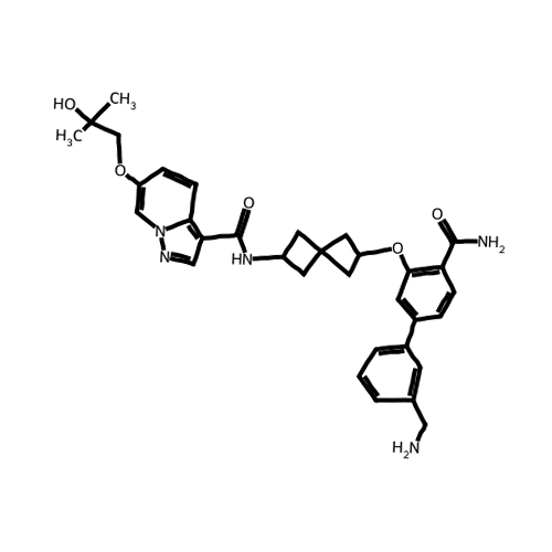 CC(C)(O)COc1ccc2c(C(=O)NC3CC4(C3)CC(Oc3cc(-c5cccc(CN)c5)ccc3C(N)=O)C4)cnn2c1